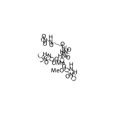 C=CC1=C(/C=C\C)C[C@H]2C=Nc3cc(OCc4cc(COc5cc6c(cc5OC)C(=O)N5c7ccccc7C[C@H]5CN6)cc(NC(=O)[C@H](C)NC(=O)[C@H](C)NC(=O)CCCCC(=O)NCCN5C(=O)C=CC5=O)c4)c(OC)cc3C(=O)N12